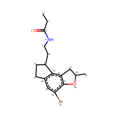 CCC(=O)NCCC1CCc2cc(Br)c3c(c21)CC(C)O3